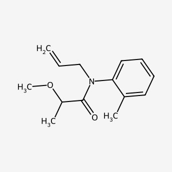 C=CCN(C(=O)C(C)OC)c1ccccc1C